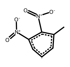 Cc1c[c]cc([N+](=O)[O-])c1[N+](=O)[O-]